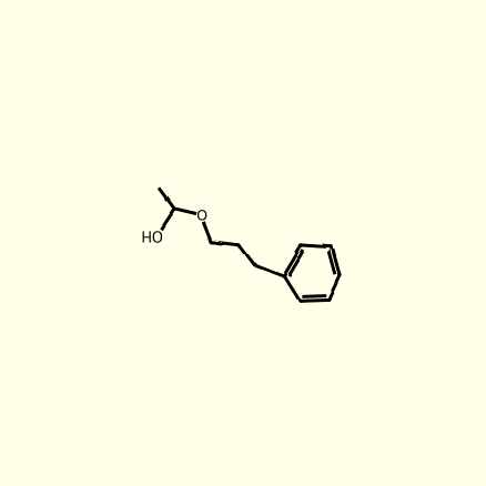 CC(O)OCCCc1ccccc1